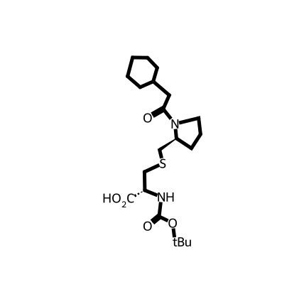 CC(C)(C)OC(=O)N[C@@H](CSC[C@@H]1CCCN1C(=O)CC1CCCCC1)C(=O)O